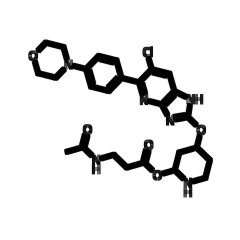 CC(=O)NCCC(=O)OC1CC(Oc2nc3nc(-c4ccc(N5CCOCC5)cc4)c(Cl)cc3[nH]2)CCN1